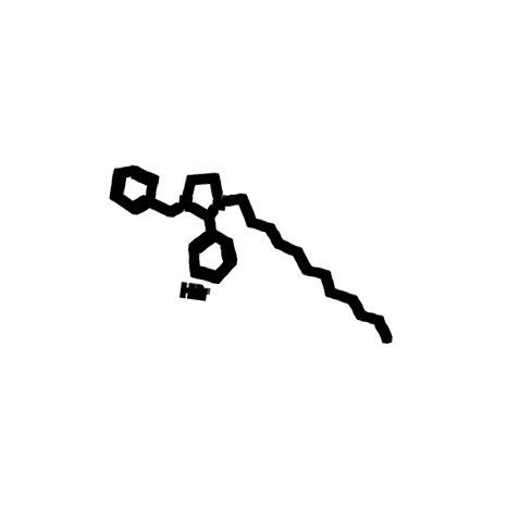 Br.CCCCCCCCCCCCN1CCN(Cc2ccccc2)C1c1ccccc1